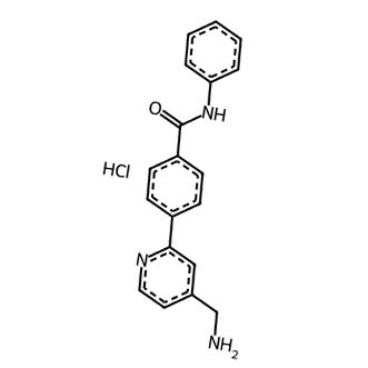 Cl.NCc1ccnc(-c2ccc(C(=O)Nc3ccccc3)cc2)c1